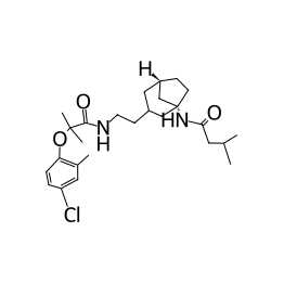 Cc1cc(Cl)ccc1OC(C)(C)C(=O)NCCC1C[C@@H]2CC[C@@](NC(=O)CC(C)C)(C1)C2